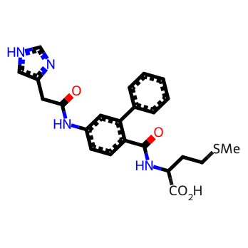 CSCCC(NC(=O)c1ccc(NC(=O)Cc2c[nH]cn2)cc1-c1ccccc1)C(=O)O